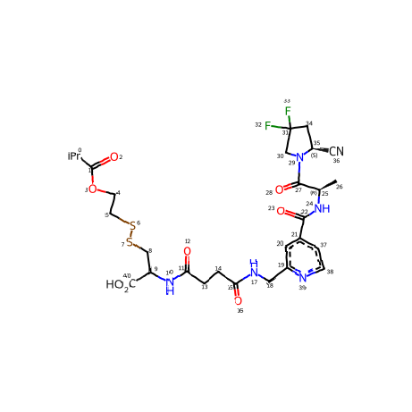 CC(C)C(=O)OCCSSCC(NC(=O)CCC(=O)NCc1cc(C(=O)N[C@H](C)C(=O)N2CC(F)(F)C[C@H]2C#N)ccn1)C(=O)O